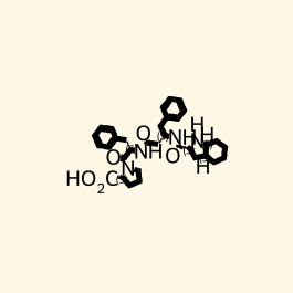 O=C(C[C@H](Cc1ccccc1)NC(=O)[C@@H]1C[C@@H]2CCCC[C@@H]2N1)N[C@@H](Cc1ccccc1)C(=O)N1CCC[C@H]1C(=O)O